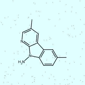 Cc1ccc2c(c1)c1cc(C)cnc1n2N